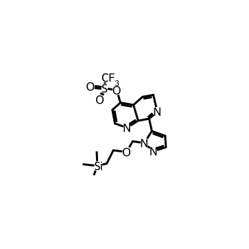 C[Si](C)(C)CCOCn1nccc1-c1nccc2c(OS(=O)(=O)C(F)(F)F)ccnc12